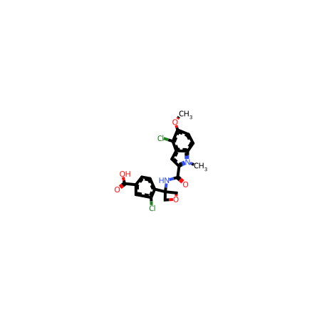 COc1ccc2c(cc(C(=O)NC3(c4ccc(C(=O)O)cc4Cl)COC3)n2C)c1Cl